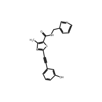 Cc1nc(C#Cc2cccc(O)c2)sc1C(=O)NCc1cccnc1